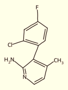 Cc1ccnc(N)c1-c1ccc(F)cc1Cl